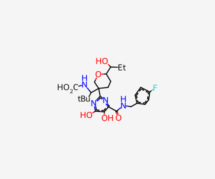 CCC(O)C1CCC(c2nc(O)c(O)c(C(=O)NCc3ccc(F)cc3)n2)(C(NC(=O)O)C(C)(C)C)CO1